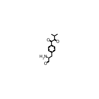 CC(C)C(=O)C(=O)c1ccc(C[C@H](N)C=O)cc1